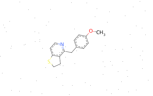 COc1ccc(Cc2nccc3c2CCS3)cc1